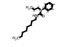 CCCCCCCCNC(=O)N(CCC)c1ccccc1